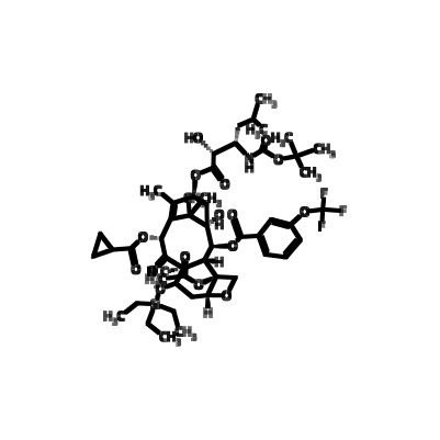 CC[Si](CC)(CC)OC1C[C@H]2OC[C@@]2(OC(C)=O)[C@H]2[C@H](OC(=O)c3cccc(OC(F)(F)F)c3)[C@]3(O)C[C@H](OC(=O)[C@H](O)[C@H](CC(C)C)NC(=O)OC(C)(C)C)C(C)=C([C@@H](OC(=O)C4CC4)C(=O)[C@]12C)C3(C)C